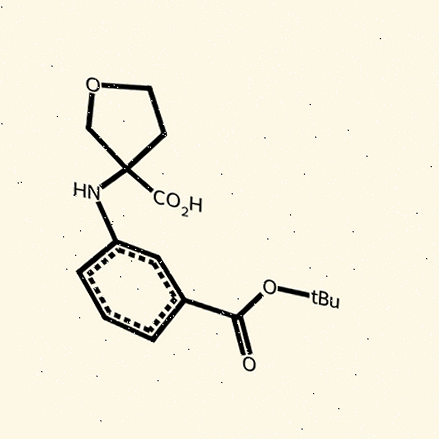 CC(C)(C)OC(=O)c1cccc(NC2(C(=O)O)CCOC2)c1